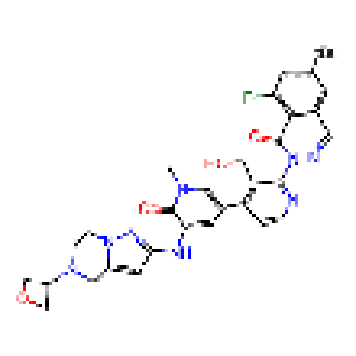 Cn1cc(-c2ccnc(-n3ncc4cc(C(C)(C)C)cc(F)c4c3=O)c2CO)cc(Nc2cc3n(n2)CCN(C2COC2)C3)c1=O